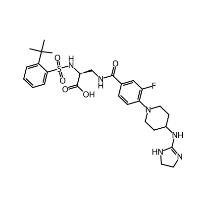 CC(C)(C)c1ccccc1S(=O)(=O)N[C@@H](CNC(=O)c1ccc(N2CCC(NC3=NCCN3)CC2)c(F)c1)C(=O)O